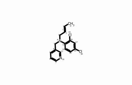 C/C=C/CN(Cc1cccnc1)c1ccc(Cl)cc1Cl